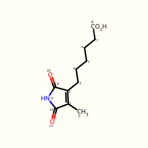 CC1=C(CCCCCC(=O)O)C(=O)NC1=O